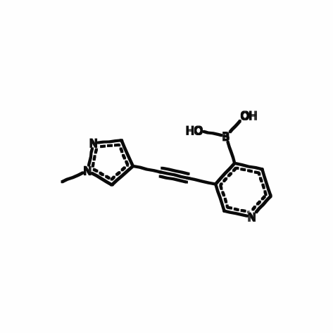 Cn1cc(C#Cc2cnccc2B(O)O)cn1